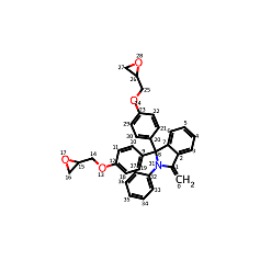 C=C1c2ccccc2C(c2ccc(OCC3CO3)cc2)(c2ccc(OCC3CO3)cc2)N1c1ccccc1